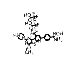 CCOc1nc(N2CCNCC2)nc2c1sc1nc(-c3ccc(C(N)=NO)cc3)cc(C(F)(F)F)c12.O=C(O)C(F)(F)F.O=C(O)C(F)(F)F